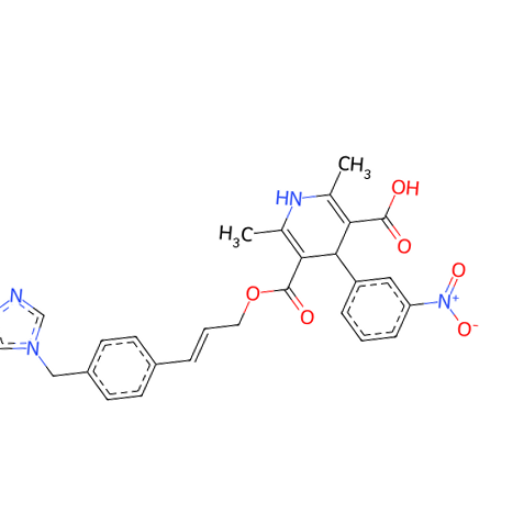 CC1=C(C(=O)O)C(c2cccc([N+](=O)[O-])c2)C(C(=O)OCC=Cc2ccc(Cn3ccnc3)cc2)=C(C)N1